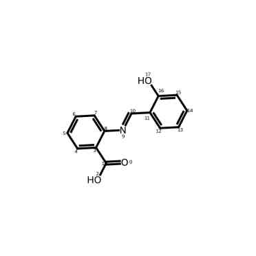 O=C(O)c1ccccc1/N=C/c1ccccc1O